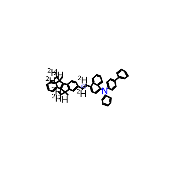 [2H]/C(=C(/[2H])c1ccc(N(c2ccccc2)c2ccc(-c3ccccc3)cc2)c2ccccc12)c1ccc2c(c1)C(C)(C([2H])([2H])[2H])C1=C2C(C)(C([2H])([2H])[2H])c2ccccc21